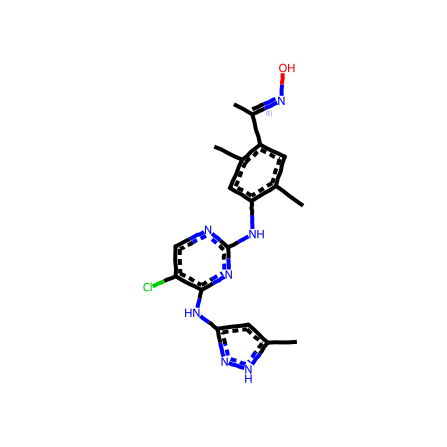 C/C(=N\O)c1cc(C)c(Nc2ncc(Cl)c(Nc3cc(C)[nH]n3)n2)cc1C